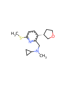 CSc1ccc([C@@H]2CCOC2)c(CN(C)C2CC2)n1